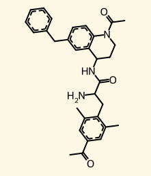 CC(=O)c1cc(C)c(CC(N)C(=O)NC2CCN(C(C)=O)c3ccc(Cc4ccccc4)cc32)c(C)c1